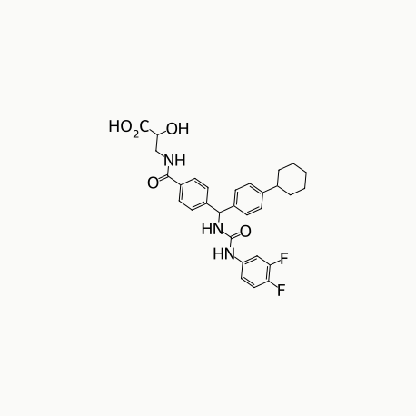 O=C(Nc1ccc(F)c(F)c1)NC(c1ccc(C(=O)NCC(O)C(=O)O)cc1)c1ccc(C2CCCCC2)cc1